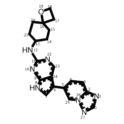 c1nc2ccc(-c3c[nH]c4nc(NC5CCC6(CCO6)CC5)ncc34)cn2n1